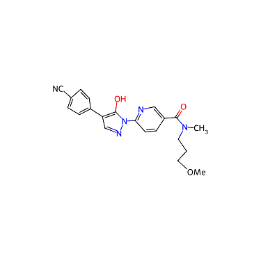 COCCCN(C)C(=O)c1ccc(-n2ncc(-c3ccc(C#N)cc3)c2O)nc1